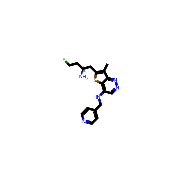 Cc1c(C[C@@H](N)CCF)sc2c(NCc3ccncc3)cnnc12